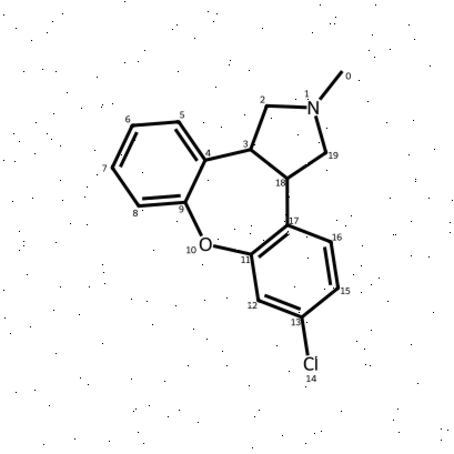 CN1CC2c3ccccc3Oc3cc(Cl)ccc3C2C1